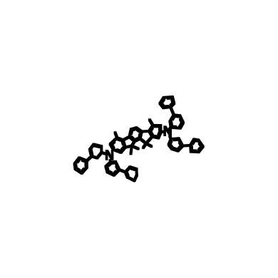 Cc1cc(N(c2cccc(-c3ccccc3)c2)c2cccc(-c3ccccc3)c2)cc2c1-c1ccc3c(c1C2(C)C)C(C)(C)c1cc(N(c2cccc(C4=CCCC=C4)c2)C2C=CC=C(c4ccccc4)C2)cc(C)c1-3